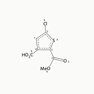 COC(=O)c1sc(Cl)cc1C(=O)O